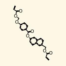 C=CC(=O)OCOc1ccc(C(=O)Oc2ccc3cc(COC(=O)C=C)ccc3c2)cc1